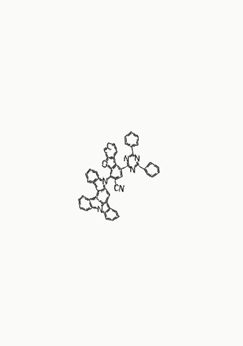 N#Cc1cc(-c2nc(-c3ccccc3)nc(-c3ccccc3)n2)c2c(oc3ccccc32)c1-n1c2ccccc2c2c3c4ccccc4n4c5ccccc5c(cc21)c34